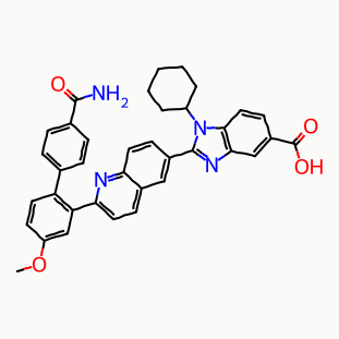 COc1ccc(-c2ccc(C(N)=O)cc2)c(-c2ccc3cc(-c4nc5cc(C(=O)O)ccc5n4C4CCCCC4)ccc3n2)c1